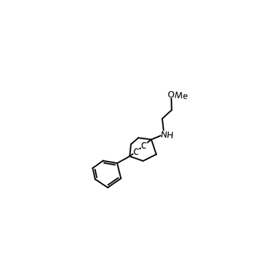 COCCNC12CCC(c3ccccc3)(CC1)CC2